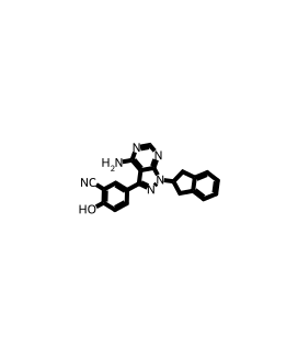 N#Cc1cc(-c2nn(C3Cc4ccccc4C3)c3ncnc(N)c23)ccc1O